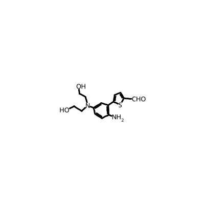 Nc1ccc(N(CCO)CCO)cc1-c1ccc(C=O)s1